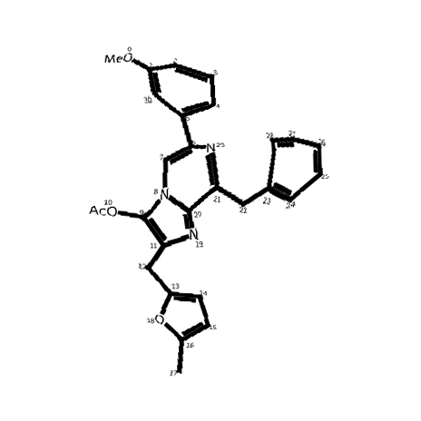 COc1cccc(-c2cn3c(OC(C)=O)c(Cc4ccc(C)o4)nc3c(Cc3ccccc3)n2)c1